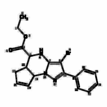 CCOC(=O)C1Nc2c(Br)c(-c3ccccc3)nn2C2C=CCC12